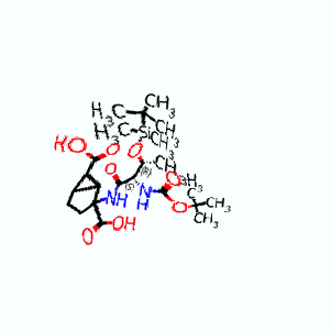 C[C@@H](O[Si](C)(C)C(C)(C)C)[C@H](NC(=O)OC(C)(C)C)C(=O)NC1(C(=O)O)CCC2C(C(=O)O)C21